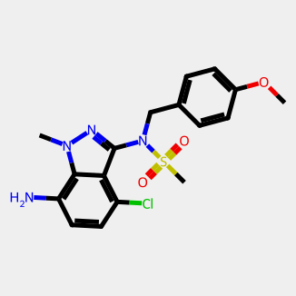 COc1ccc(CN(c2nn(C)c3c(N)ccc(Cl)c23)S(C)(=O)=O)cc1